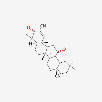 CC1(C)CC[C@]2(C#N)CC[C@]3(C)C(C(=O)CC4[C@@]5(C)C=C(C#N)C(=O)C(C)(C)[C@@H]5CC[C@]43C)C2C1